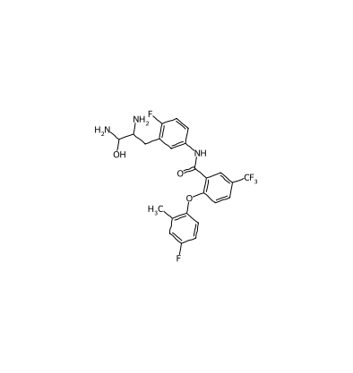 Cc1cc(F)ccc1Oc1ccc(C(F)(F)F)cc1C(=O)Nc1ccc(F)c(CC(N)C(N)O)c1